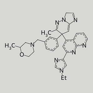 CCn1cnc(-c2cc(C3(c4cccc(CN5CCOC(C)C5)c4)C=C4N=CCN4N=C3C)c3cccnc3n2)c1